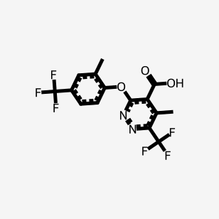 Cc1cc(C(F)(F)F)ccc1Oc1nnc(C(F)(F)F)c(C)c1C(=O)O